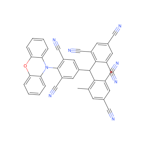 Cc1cc(C#N)cc(C#N)c1C(c1cc(C#N)c(N2c3ccccc3Oc3ccccc32)c(C#N)c1)c1c(C#N)cc(C#N)cc1C#N